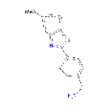 COc1ccc2sc(-c3ccc(CN)cc3)nc2c1